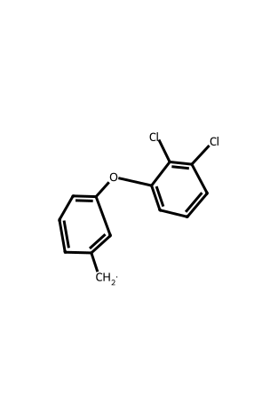 [CH2]c1cccc(Oc2cccc(Cl)c2Cl)c1